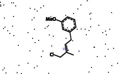 COc1cccc(C/C=C(\C)CCl)c1